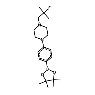 CC(C)(F)CN1CCN(c2ccc(B3OC(C)(C)C(C)(C)O3)cc2)CC1